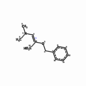 CN(C)/C=C(/OCc1ccccc1)C(=O)O